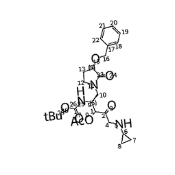 CC(=O)OC(C(=O)CNC1CC1)[C@H](CN1CC[C@H](OCc2ccccc2)C1=O)NC(=O)OC(C)(C)C